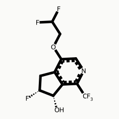 O[C@H]1c2c(C(F)(F)F)ncc(OCC(F)F)c2C[C@H]1F